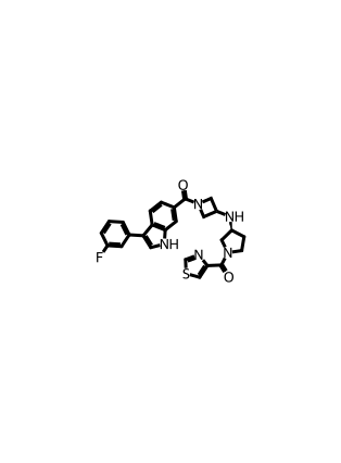 O=C(c1ccc2c(-c3cccc(F)c3)c[nH]c2c1)N1CC(N[C@H]2CCN(C(=O)c3cscn3)C2)C1